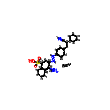 N#C/C(=C\c1ccc(/N=N/c2cc(S(=O)(=O)O)c3ccccc3c2N)cc1)c1ccccc1.[NaH]